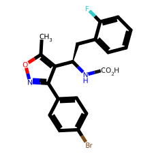 Cc1onc(-c2ccc(Br)cc2)c1[C@@H](Cc1ccccc1F)NC(=O)O